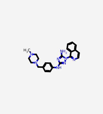 CN1CCN(Cc2ccc(Nc3nc(N)n(-c4nccc5ccccc45)n3)cc2)CC1